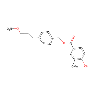 COc1cc(C(=O)OCc2ccc(CCCO[N+](=O)[O-])cc2)ccc1O